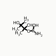 CC(C)(O)C(C)(C)OB(N)O